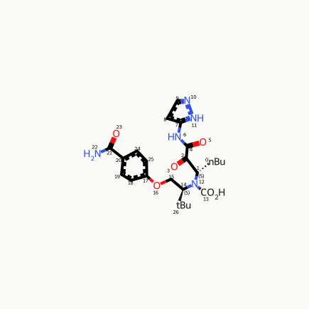 CCCC[C@@H](C(=O)C(=O)Nc1ccn[nH]1)N(C(=O)O)[C@H](COc1ccc(C(N)=O)cc1)C(C)(C)C